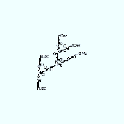 CCCCCCCCCCCCCC(=O)OCCN(CCOC(=O)CCCCCCCCCCCCC)C(=O)CCC(=O)NCCCC[C@H](NC(=O)CCC(=O)N(CCOC(=O)CCCCCCCCCCCCC)CCOC(=O)CCCCCCCCCCCCC)C(=O)NCCCOCCOCCOC